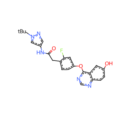 CC(C)(C)n1cc(NC(=O)Cc2ccc(Oc3ncnc4ccc(O)cc34)cc2F)cn1